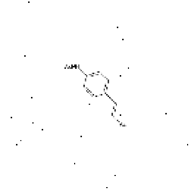 CC(=O)C=Cc1ccc(NC(C)=O)cc1